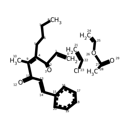 C=CC(=O)C(CCCC)=C(C)C(=O)C=Cc1ccccc1.C=CCl.C=COC(C)=O